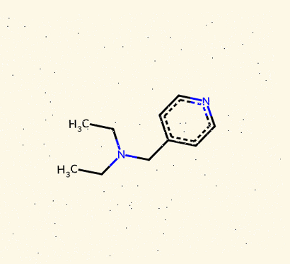 CCN(CC)Cc1ccncc1